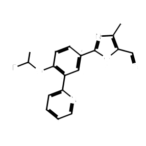 Cc1nc(-c2ccc(OC(F)F)c(-c3ccccn3)c2)oc1C=O